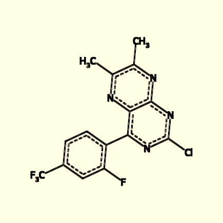 Cc1nc2nc(Cl)nc(-c3ccc(C(F)(F)F)cc3F)c2nc1C